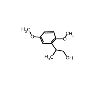 COc1ccc(OC)c(C(C)CO)c1